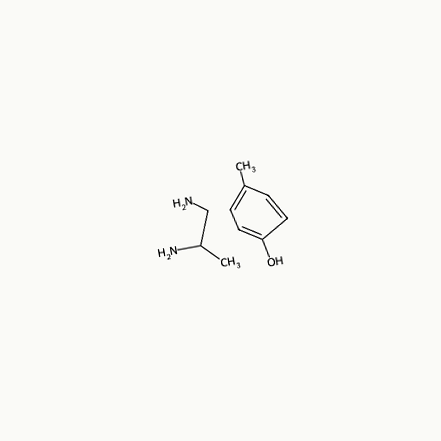 CC(N)CN.Cc1ccc(O)cc1